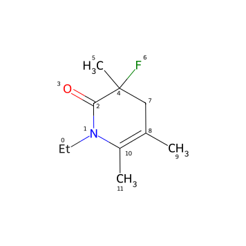 CCN1C(=O)C(C)(F)CC(C)=C1C